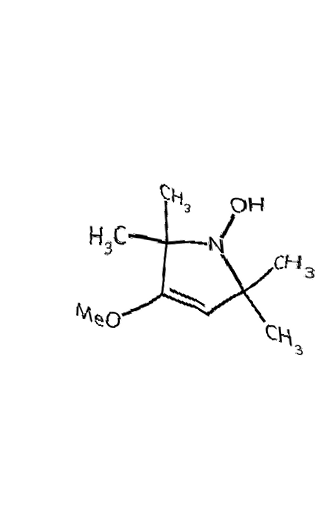 COC1=CC(C)(C)N(O)C1(C)C